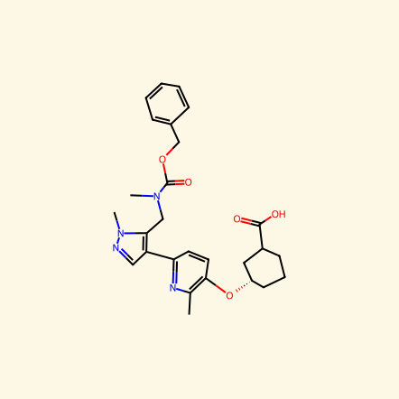 Cc1nc(-c2cnn(C)c2CN(C)C(=O)OCc2ccccc2)ccc1O[C@H]1CCCC(C(=O)O)C1